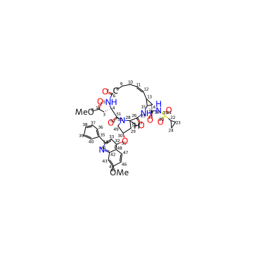 COC(=O)C[C@@H]1NC(=O)CCC/C=C\C2C[C@@]2(C(=O)NS(=O)(=O)C2CC2)NC(=O)[C@@H]2C[C@@H](Oc3cc(-c4ccccc4)nc4cc(OC)ccc34)CN2C1=O